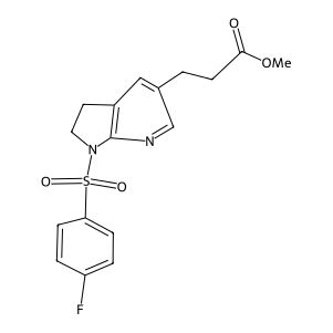 COC(=O)CCc1cnc2c(c1)CCN2S(=O)(=O)c1ccc(F)cc1